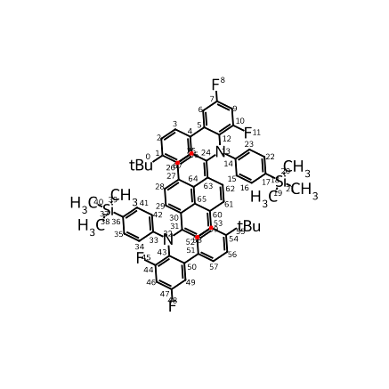 CC(C)(C)c1ccc(-c2cc(F)cc(F)c2N(c2ccc([Si](C)(C)C)cc2)c2ccc3ccc4c(N(c5ccc([Si](C)(C)C)cc5)c5c(F)cc(F)cc5-c5ccc(C(C)(C)C)cc5)ccc5ccc2c3c54)cc1